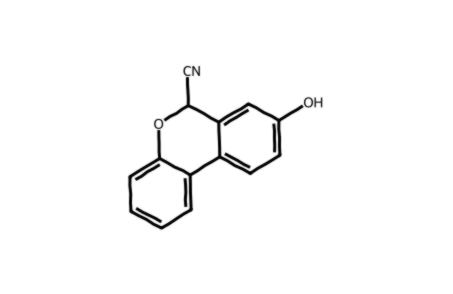 N#CC1Oc2ccccc2-c2ccc(O)cc21